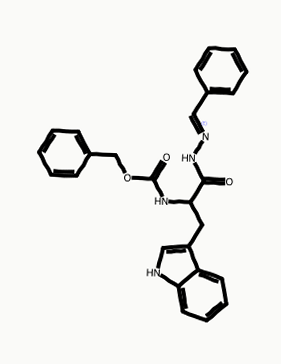 O=C(NC(Cc1c[nH]c2ccccc12)C(=O)N/N=C/c1ccccc1)OCc1ccccc1